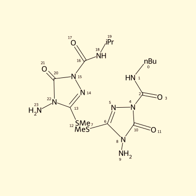 CCCCNC(=O)n1nc(SC)n(N)c1=O.CSc1nn(C(=O)NC(C)C)c(=O)n1N